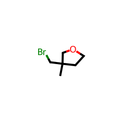 CC1(CBr)CCOC1